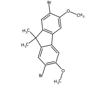 COc1cc2c(cc1Br)C(C)(C)c1cc(Br)c(OC)cc1-2